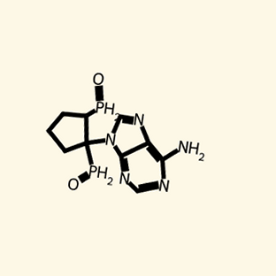 Nc1ncnc2c1ncn2C1([PH2]=O)CCCC1[PH2]=O